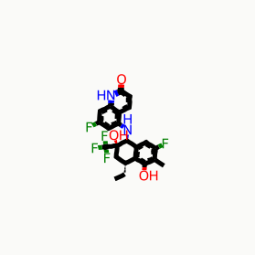 CC[C@@H]1C[C@](O)(C(F)(F)F)[C@@H](Nc2cc(F)cc3[nH]c(=O)ccc23)c2cc(F)c(C)c(O)c21